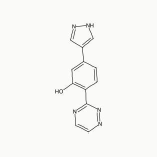 Oc1cc(-c2cn[nH]c2)ccc1-c1nc[c]nn1